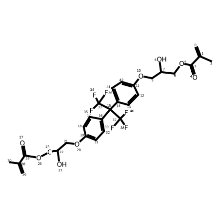 C=C(C)C(=O)OCC(O)COc1ccc(C(c2ccc(OCC(O)COC(=O)C(=C)C)cc2)(C(F)(F)F)C(F)(F)F)cc1